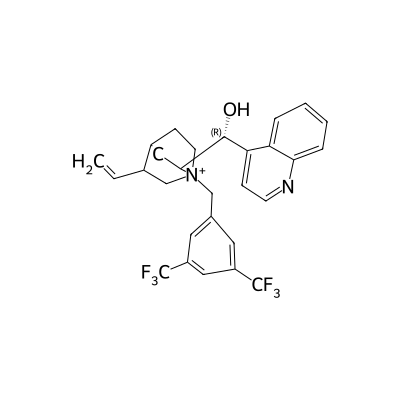 C=CC1C[N+]2(Cc3cc(C(F)(F)F)cc(C(F)(F)F)c3)CCC1CC2[C@H](O)c1ccnc2ccccc12